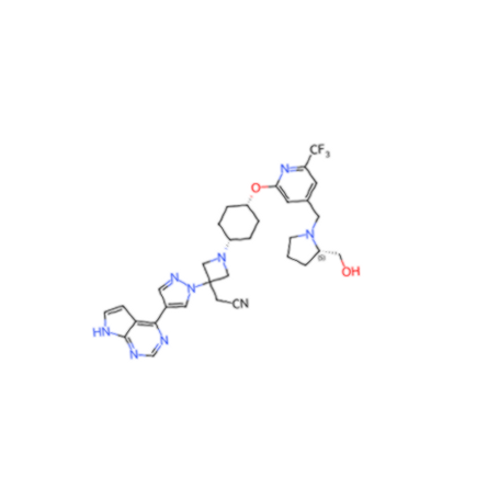 N#CCC1(n2cc(-c3ncnc4[nH]ccc34)cn2)CN([C@H]2CC[C@@H](Oc3cc(CN4CCC[C@H]4CO)cc(C(F)(F)F)n3)CC2)C1